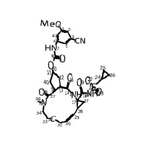 COc1cc(C#N)cc(NC(=O)OC2CC3C(=O)NC4(C(=O)NS(=O)(=O)C5CC5)CC4C=CCCCCN(C)C(=O)C3C2)c1